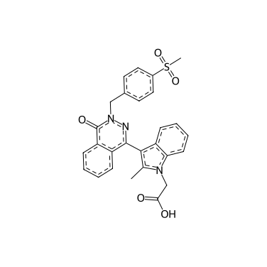 Cc1c(-c2nn(Cc3ccc(S(C)(=O)=O)cc3)c(=O)c3ccccc23)c2ccccc2n1CC(=O)O